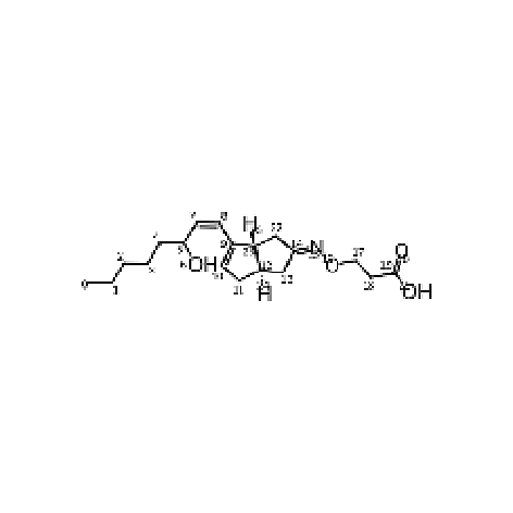 CCCCCC(O)/C=C\C1=CC[C@@H]2C/C(=N\OCCC(=O)O)C[C@@H]12